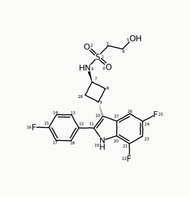 O=S(=O)(CCO)N[C@H]1C[C@H](c2c(-c3ccc(F)cc3)[nH]c3c(F)cc(F)cc32)C1